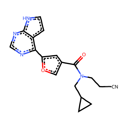 N#CCCN(CC1CC1)C(=O)c1coc(-c2ncnc3[nH]ccc23)c1